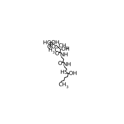 CCCCCC(O)=[SH]CCNC(=O)CCNC(=O)[C@@H](O)C(C)(C)COP(=O)(O)O